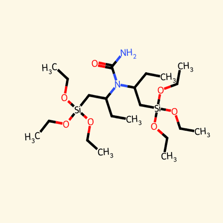 CCO[Si](CC(CC)N(C(N)=O)C(CC)C[Si](OCC)(OCC)OCC)(OCC)OCC